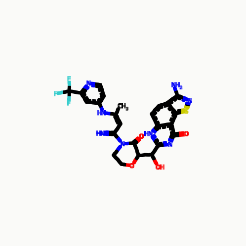 C/C(=C/C(=N)N1CCOC(C(O)c2nc(=O)c3c(ccc4c(N)nsc43)[nH]2)C1=O)Nc1ccnc(C(F)(F)F)c1